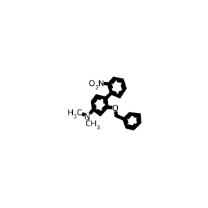 CN(C)c1ccc(-c2ccccc2[N+](=O)[O-])c(OCc2ccccc2)c1